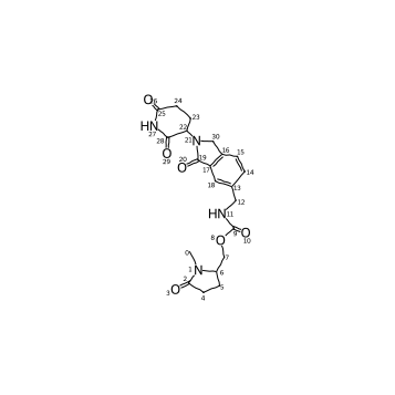 CN1C(=O)CCC1COC(=O)NCc1ccc2c(c1)C(=O)N(C1CCC(=O)NC1=O)C2